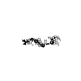 BC(B)(COc1ccn(-c2ccc(C(=O)NS(=O)(=O)c3cccc(NCCC[C@@H]4CN(C(=O)OC(C)(C)C)C(C)(C)C4)n3)c(Cl)n2)n1)C1C2(CC2)C12CC2